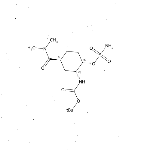 CN(C)C(=O)[C@H]1CC[C@H](OS(N)(=O)=O)[C@H](NC(=O)OC(C)(C)C)C1